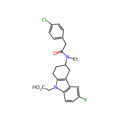 CCN(C(=O)Cc1ccc(Cl)cc1)C1CCc2c(c3cc(F)ccc3n2CC(=O)O)C1